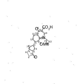 COc1c(-c2cc3c(s2)CCC3=O)ccc2c(=O)c(C(=O)O)cn(C3CC3)c12